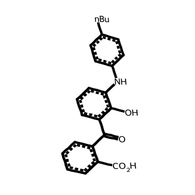 CCCCc1ccc(Nc2cccc(C(=O)c3ccccc3C(=O)O)c2O)cc1